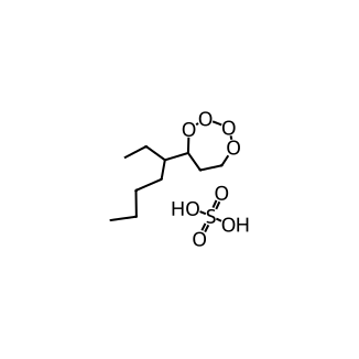 CCCCC(CC)C1CCOOOO1.O=S(=O)(O)O